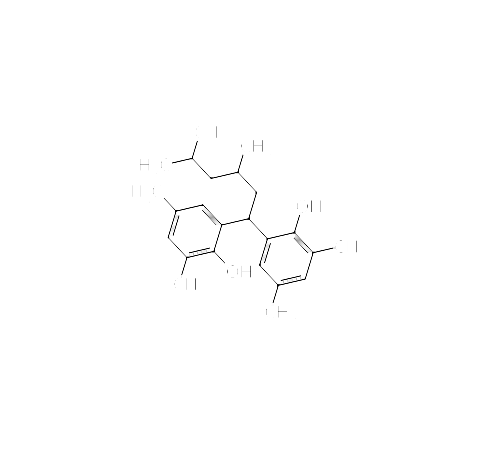 Cc1cc(C)c(O)c(C(CC(C)CC(C)C)c2cc(C)cc(C)c2O)c1